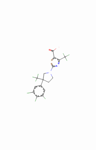 O=C(O)c1sc(N2CCC(c3cc(Cl)c(Cl)c(Cl)c3)(C(F)(F)F)C2)nc1C(F)(F)F